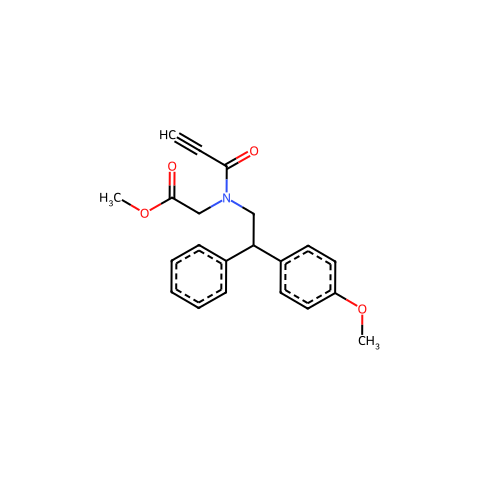 C#CC(=O)N(CC(=O)OC)CC(c1ccccc1)c1ccc(OC)cc1